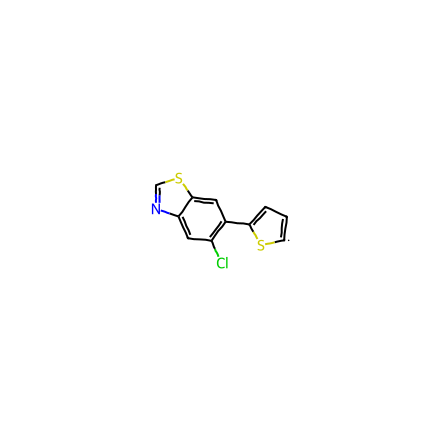 Clc1cc2ncsc2cc1-c1cc[c]s1